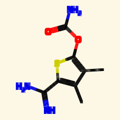 Cc1c(OC(N)=O)sc(C(=N)N)c1C